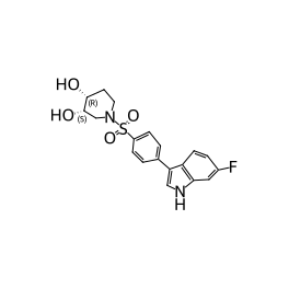 O=S(=O)(c1ccc(-c2c[nH]c3cc(F)ccc23)cc1)N1CC[C@@H](O)[C@@H](O)C1